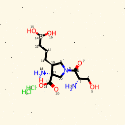 Cl.Cl.N[C@@H](CO)C(=O)N1C[C@H](CCCB(O)O)[C@](N)(C(=O)O)C1